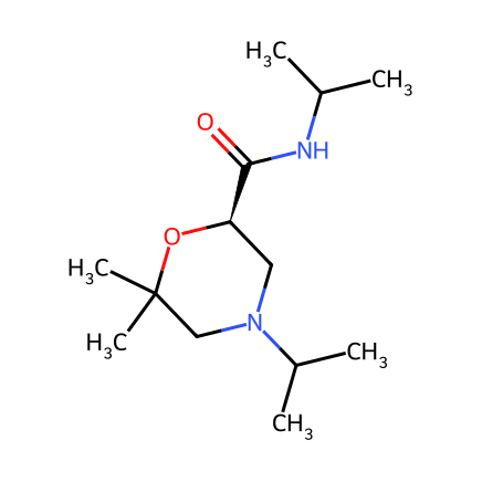 CC(C)NC(=O)[C@H]1CN(C(C)C)CC(C)(C)O1